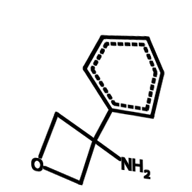 NC1(c2ccccc2)COC1